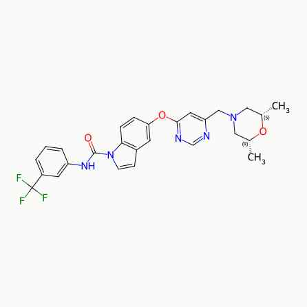 C[C@@H]1CN(Cc2cc(Oc3ccc4c(ccn4C(=O)Nc4cccc(C(F)(F)F)c4)c3)ncn2)C[C@H](C)O1